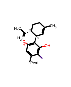 C=C(C)[C@@H]1CCC(C)=C[C@H]1c1c(O)cc(CCCCC)c(I)c1O